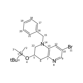 CC(C)(C)[Si](C)(C)OC1Cc2ncc(Br)cc2N(Cc2ccccc2)C1